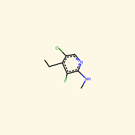 CCc1c(Cl)cnc(NC)c1F